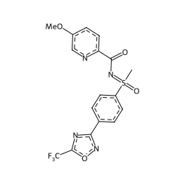 COc1ccc(C(=O)N=S(C)(=O)c2ccc(-c3noc(C(F)(F)F)n3)cc2)nc1